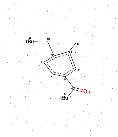 Cc1cc(C(=O)C(C)(C)C)ccc1CC(C)(C)C